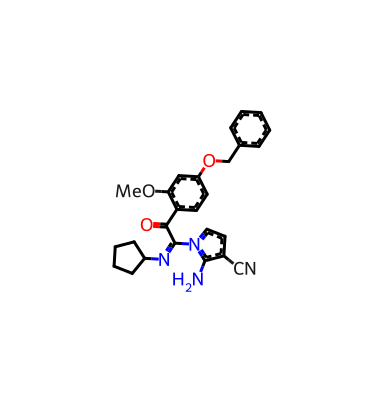 COc1cc(OCc2ccccc2)ccc1C(=O)C(=NC1CCCC1)n1ccc(C#N)c1N